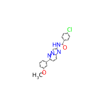 COc1cccc(-c2ccc3nc(NC(=O)c4ccc(Cl)cc4)cn3n2)c1